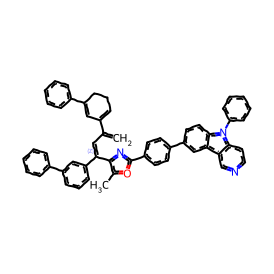 C=C(/C=C(/c1cccc(-c2ccccc2)c1)c1nc(-c2ccc(-c3ccc4c(c3)c3cnccc3n4-c3ccccc3)cc2)oc1C)C1=CCCC(c2ccccc2)=C1